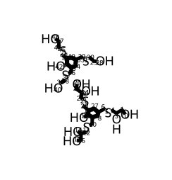 OCC(O)CSCc1cc(CSCC(O)CO)c(O)c(CSCC(O)CO)c1.OCCSCc1cc(CSCCO)c(O)c(CSCCO)c1